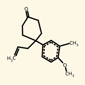 C=CCC1(c2ccc(OC)c(C)c2)CCC(=O)CC1